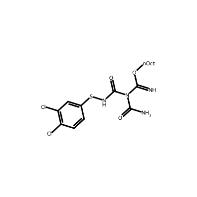 CCCCCCCCOC(=N)N(C(N)=O)C(=O)NSc1ccc(Cl)c(Cl)c1